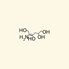 N/C(CO)=C(\O)CC(O)CO